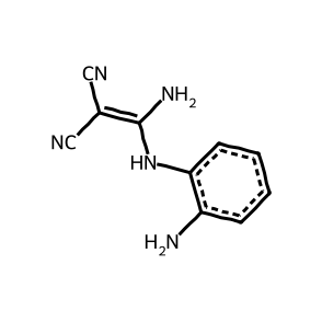 N#CC(C#N)=C(N)Nc1ccccc1N